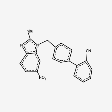 CCCCc1nc2ccc([N+](=O)[O-])cc2n1Cc1ccc(-c2ccccc2C#N)cc1